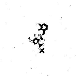 CO[C@@H]1CN(C(=O)OC(C)(C)C)[C@H](C(=O)NCc2cccc(Cl)c2F)[C@H]1F